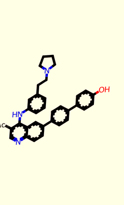 CC(=O)c1cnc2ccc(-c3ccc(-c4ccc(O)cc4)cc3)cc2c1Nc1cccc(CCN2CCCC2)c1